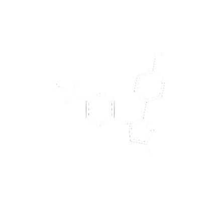 CCc1cc(-c2ccc(C)cc2)n(-c2ccc(S(N)(=O)=O)cc2)c1